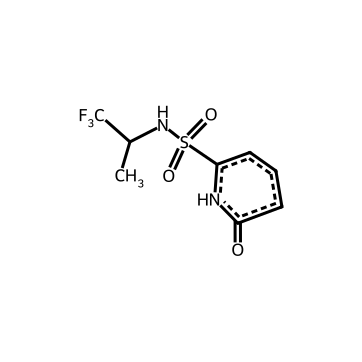 CC(NS(=O)(=O)c1cccc(=O)[nH]1)C(F)(F)F